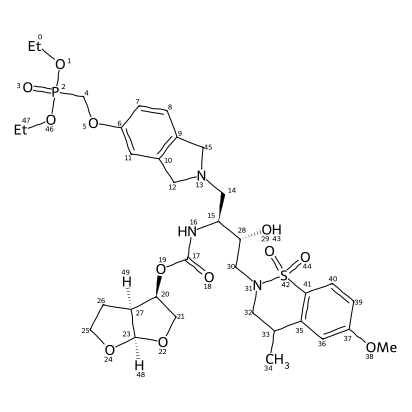 CCOP(=O)(COc1ccc2c(c1)CN(C[C@H](NC(=O)O[C@H]1CO[C@H]3OCC[C@H]31)[C@H](O)CN1CC(C)c3cc(OC)ccc3S1(=O)=O)C2)OCC